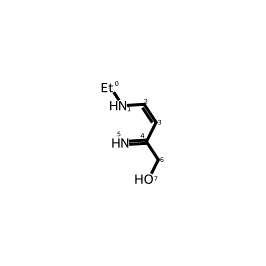 CCN/C=C\C(=N)CO